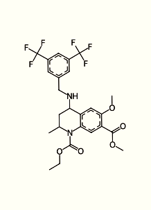 CCOC(=O)N1c2cc(C(=O)OC)c(OC)cc2C(NCc2cc(C(F)(F)F)cc(C(F)(F)F)c2)CC1C